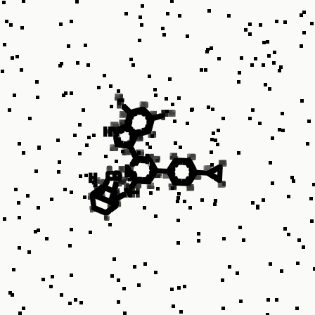 O=C(O)[C@@H]1C2CCC(CC2)[C@H]1Nc1cc(-c2ccc(C3CC3)cc2)nc(-c2c[nH]c3c(F)cc(F)cc23)n1